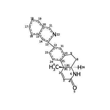 C[C@]12C=CC(=O)N[C@@H]1CCc1cc(-c3cc4ccccc4cn3)ccc12